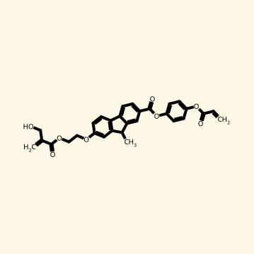 C=CC(=O)Oc1ccc(OC(=O)c2ccc3c(c2)C(C)c2cc(OCCOC(=O)C(=C)CO)ccc2-3)cc1